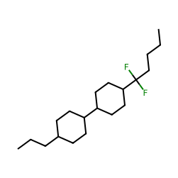 CCCCC(F)(F)C1CCC(C2CCC(CCC)CC2)CC1